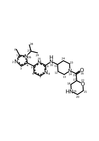 Cc1ncc(-c2ccnc(NC3CCN(C(=O)C4CNCCO4)CC3)n2)n1C(C)C